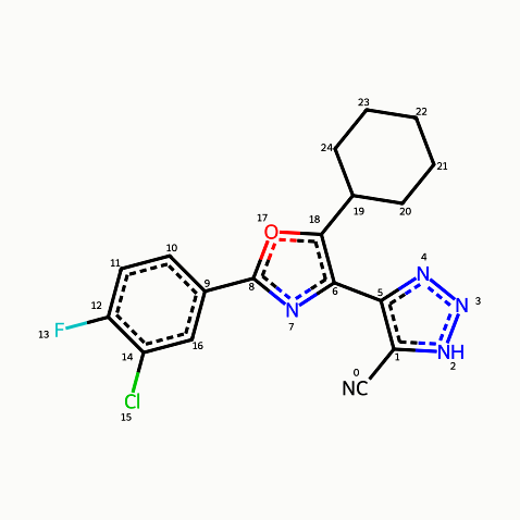 N#Cc1[nH]nnc1-c1nc(-c2ccc(F)c(Cl)c2)oc1C1CCCCC1